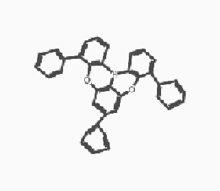 c1ccc(-c2cc3c4c(c2)Oc2c(cccc2-c2ccccc2)B4c2cccc(-c4ccccc4)c2O3)cc1